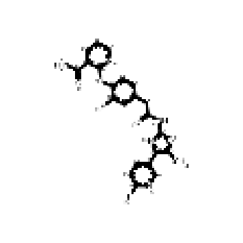 Cc1sc(NC(=O)Cc2ccc(Oc3ncccc3C(N)=O)c(F)c2)nc1-c1ccc(F)nc1